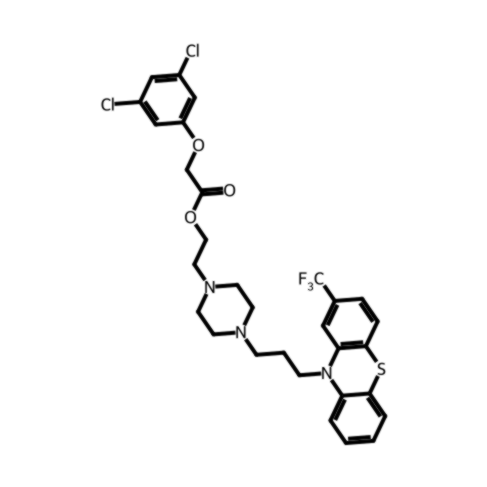 O=C(COc1cc(Cl)cc(Cl)c1)OCCN1CCN(CCCN2c3ccccc3Sc3ccc(C(F)(F)F)cc32)CC1